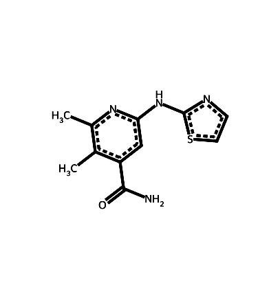 Cc1nc(Nc2nccs2)cc(C(N)=O)c1C